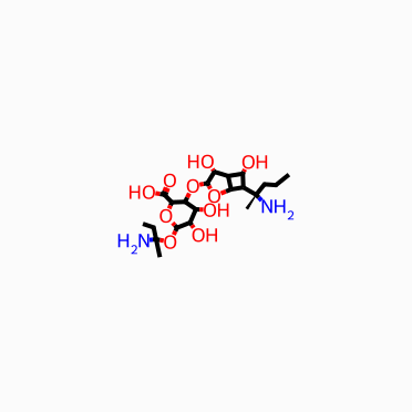 CCC[C@](C)(N)C1C(O)C2C(O)C(OC3C(C(=O)O)OC(OC(C)(N)CC)C(O)C3O)OC21